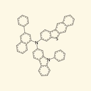 c1ccc(-c2cc(N(c3ccc4c(c3)sc3cc5ccccc5cc34)c3ccc4c5ccccc5n(-c5ccccc5)c4c3)c3ccccc3c2)cc1